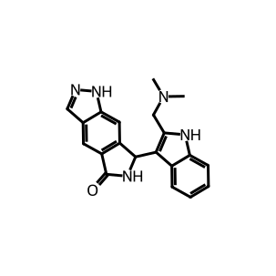 CN(C)Cc1[nH]c2ccccc2c1C1NC(=O)c2cc3cn[nH]c3cc21